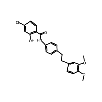 COc1ccc(CCc2ccc(NC(=O)c3ccc(Cl)cc3O)cc2)cc1OC